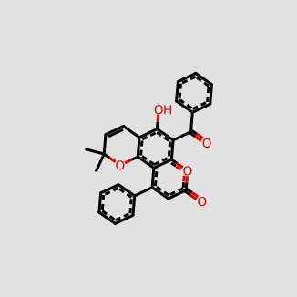 CC1(C)C=Cc2c(O)c(C(=O)c3ccccc3)c3oc(=O)cc(-c4ccccc4)c3c2O1